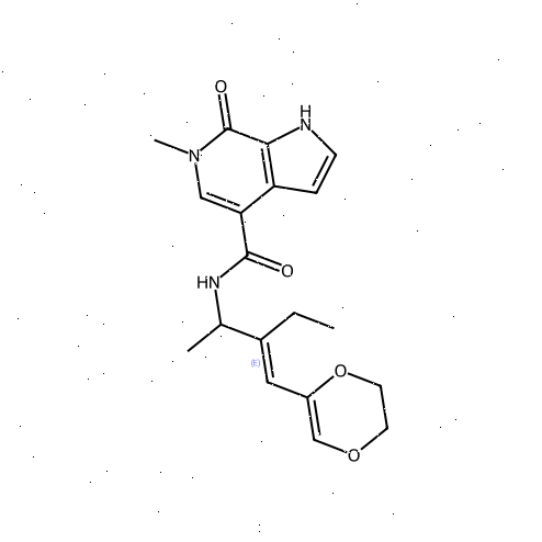 CC/C(=C\C1=COCCO1)C(C)NC(=O)c1cn(C)c(=O)c2[nH]ccc12